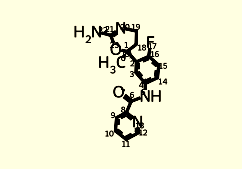 C[C@@]1(c2cc(NC(=O)c3ccccn3)ccc2F)CCN=C(N)O1